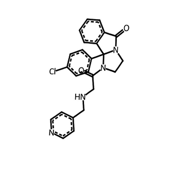 O=C(CNCc1ccncc1)N1CCN2C(=O)c3ccccc3C12c1ccc(Cl)cc1